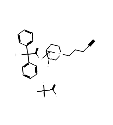 C#CCCC[N+]12CCC(CC1)[C@@H](OC(=O)C(O)(c1ccccc1)c1ccccc1)C2.O=C([O-])C(F)(F)F